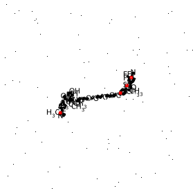 Cc1ncsc1-c1ccc(CNC(=O)[C@@H]2C[C@@H](O)CN2C(=O)C(NC(=O)COCCOCCOCCCOCCOCCOc2ccc(N3C(=S)N(c4ccc(C#N)c(C(F)(F)F)c4)C(=O)C3(C)C)cc2)C(C)(C)C)cc1